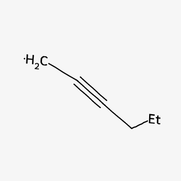 [CH2]C#CCCC